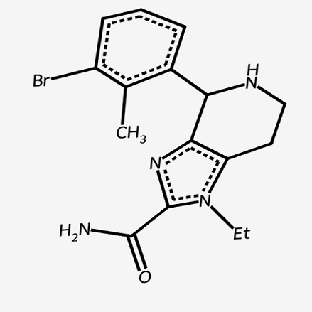 CCn1c(C(N)=O)nc2c1CCNC2c1cccc(Br)c1C